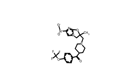 CC1(CN2CCC(C(=O)c3ccc(OC(F)(F)F)cc3)CC2)Cn2cc([N+](=O)[O-])nc2O1